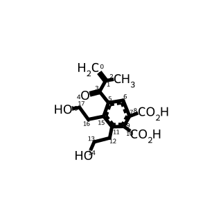 C=C(C)C(=O)c1cc(C(=O)O)c(C(=O)O)c(CCO)c1CCO